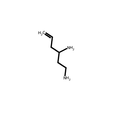 C=CCC(N)CCN